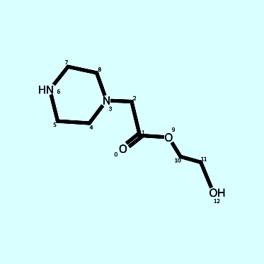 O=C(CN1CCNCC1)OCCO